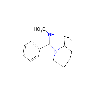 CC1CCCCN1C(NC(=O)O)c1ccccc1